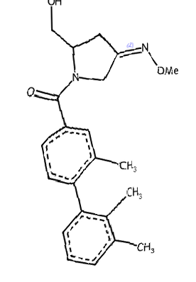 CO/N=C1/CC(CO)N(C(=O)c2ccc(-c3cccc(C)c3C)c(C)c2)C1